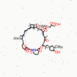 CO[C@H]1CC2CC[C@@H](C)[C@@](O)(O2)C(=O)C(=O)N2CCCCC2C(=O)O[C@H]([C@H](C)C[C@@H]2CC[C@@H](O)[C@H](OC)C2)CC(=O)[C@H](C)/C=C(\C)[C@@H](OC(=O)OCC(O)CO)[C@@H](OC)C(=O)[C@H]2C[C@H](C)/C2=C/C=C/C=C/1C